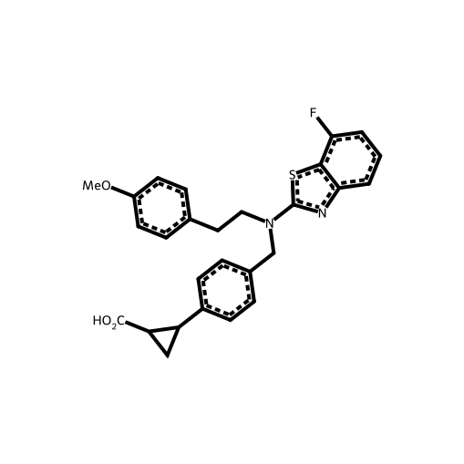 COc1ccc(CCN(Cc2ccc(C3CC3C(=O)O)cc2)c2nc3cccc(F)c3s2)cc1